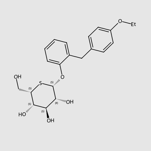 CCOc1ccc(Cc2ccccc2O[C@H]2S[C@@H](CO)[C@@H](O)[C@H](O)[C@H]2O)cc1